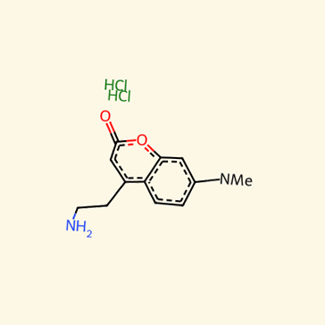 CNc1ccc2c(CCN)cc(=O)oc2c1.Cl.Cl